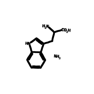 N.NC(Cc1c[nH]c2ccccc12)C(=O)O